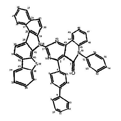 O=c1c2c(-c3ccc(-c4ccccc4)cc3)nc(-n3c4ccc5ccccc5c4c4ccc5c6ccccc6sc5c43)nc2c2ccccc2n1-c1ccccc1